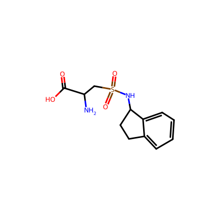 NC(CS(=O)(=O)NC1CCc2ccccc21)C(=O)O